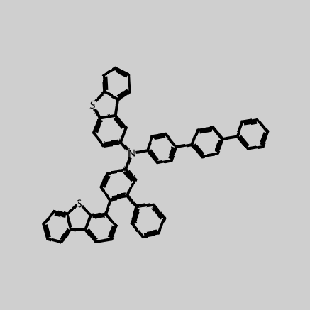 c1ccc(-c2ccc(-c3ccc(N(c4ccc(-c5cccc6c5sc5ccccc56)c(-c5ccccc5)c4)c4ccc5sc6ccccc6c5c4)cc3)cc2)cc1